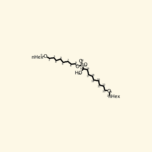 CCCCCCOCCCCCCCCOS(=O)(=O)C(O)CCCCCCCCOCCCCCC